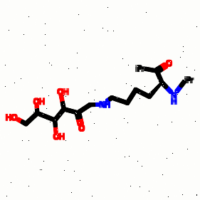 CC(C)N[C@@H](CCCCNCC(=O)C(O)C(O)C(O)CO)C(=O)C(C)C